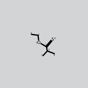 CCOC(=S)C(C)C